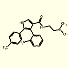 CN(C)CCNC(=O)c1c[nH]c(-c2ccc(C(F)(F)F)cc2)c1-c1ccccc1N